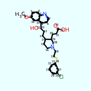 COc1ccc2nccc([C@@H](O)CCC3CCN(CCSc4cccc(Cl)c4)CC3CCC(=O)O)c2c1